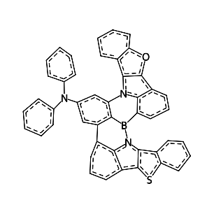 c1ccc(N(c2ccccc2)c2cc3c4c(c2)-n2c5c(cccc5c5oc6ccccc6c52)B4n2c4c-3cccc4c3sc4ccccc4c32)cc1